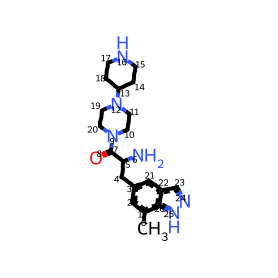 Cc1cc(CC(N)C(=O)N2CCN(C3CCNCC3)CC2)cc2cn[nH]c12